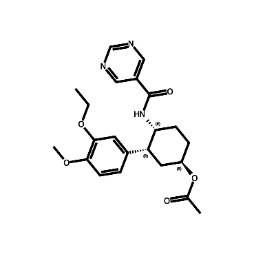 CCOc1cc([C@H]2C[C@H](OC(C)=O)CC[C@H]2NC(=O)c2cncnc2)ccc1OC